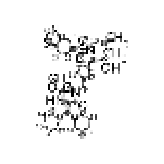 COC(=O)N[C@H](C(=O)NCc1ccc([C@H](CO)N(CC(C)C)S(=O)(=O)c2ccc3scnc3c2)s1)C(c1ccccc1)c1ccccc1